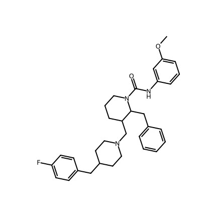 COc1cccc(NC(=O)N2CCCC(CN3CCC(Cc4ccc(F)cc4)CC3)C2Cc2ccccc2)c1